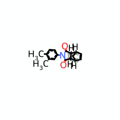 Cc1ccc(N2C(=O)[C@@H]3[C@H](C2=O)[C@@H]2C=C[C@H]3C2)cc1C